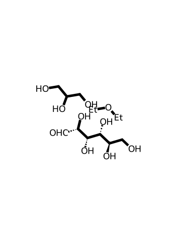 CCOCC.O=C[C@H](O)[C@@H](O)[C@H](O)[C@H](O)CO.OCC(O)CO